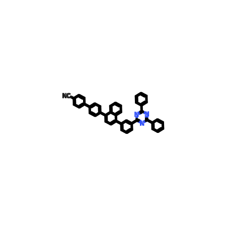 N#Cc1ccc(-c2ccc(-c3ccc(-c4cccc(-c5nc(-c6ccccc6)nc(-c6ccccc6)n5)c4)c4ccccc34)cc2)cc1